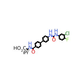 CC(C)[C@H](NC(=O)c1ccc(-c2ccc(NC(=O)Nc3ccc(F)c(Cl)c3)cc2)cc1)C(=O)O